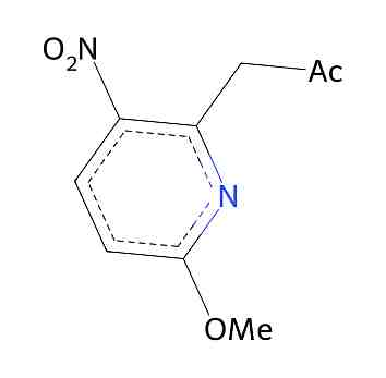 COc1ccc([N+](=O)[O-])c(CC(C)=O)n1